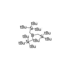 CC(C)(C)[Si](CB(C[Si](C(C)(C)C)(C(C)(C)C)C(C)(C)C)C[Si](C(C)(C)C)(C(C)(C)C)C(C)(C)C)(C(C)(C)C)C(C)(C)C